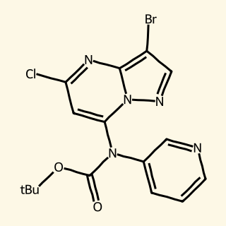 CC(C)(C)OC(=O)N(c1cccnc1)c1cc(Cl)nc2c(Br)cnn12